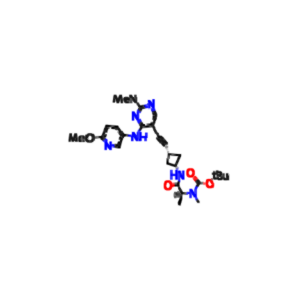 CNc1ncc(C#C[C@H]2C[C@@H](NC(=O)[C@H](C)N(C)C(=O)OC(C)(C)C)C2)c(Nc2ccc(OC)nc2)n1